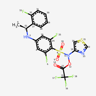 C[C@H](Nc1cc(F)c(S(=O)(=O)N(OC(=O)C(F)(F)F)c2cscn2)c(F)c1)c1ccccc1F